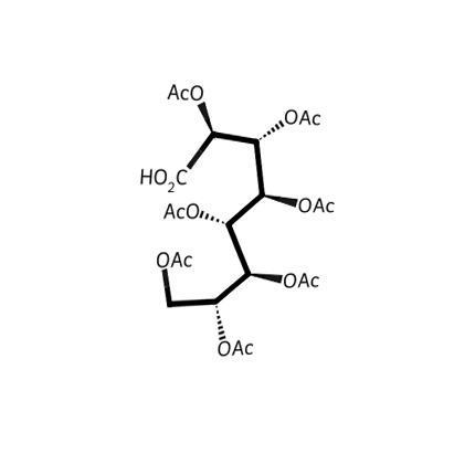 CC(=O)OC[C@@H](OC(C)=O)[C@H](OC(C)=O)[C@H](OC(C)=O)[C@H](OC(C)=O)[C@@H](OC(C)=O)[C@H](OC(C)=O)C(=O)O